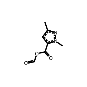 Cc1cc(C(=O)OC=O)n(C)n1